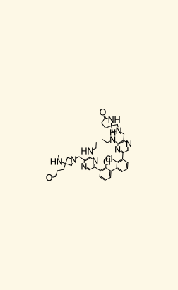 CCNc1nc(-c2cccc(-c3cccc(-c4cnc(CN5CC6(CCC(=O)N6)C5)c(NCC)n4)c3Cl)c2Cl)cnc1CN1CC(CCC=O)(NC)C1